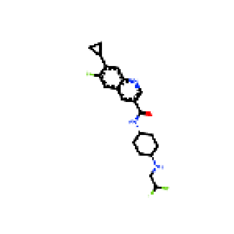 O=C(N[C@H]1CC[C@H](NCC(F)F)CC1)c1cnc2cc(C3CC3)c(F)cc2c1